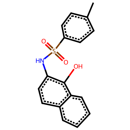 Cc1ccc(S(=O)(=O)Nc2ccc3ccccc3c2O)cc1